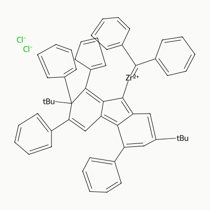 CC(C)(C)c1cc(-c2ccccc2)c2c(c1)=[C]([Zr+2]=[C](c1ccccc1)c1ccccc1)C1=C(C3=CC=CC3)C(c3ccccc3)(C(C)(C)C)C(c3ccccc3)=CC=21.[Cl-].[Cl-]